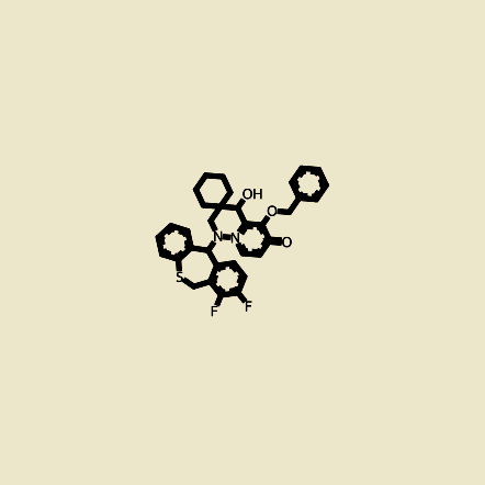 O=c1ccn2c(c1OCc1ccccc1)C(O)C1(CCCCC1)CN2C1c2ccccc2SCc2c1ccc(F)c2F